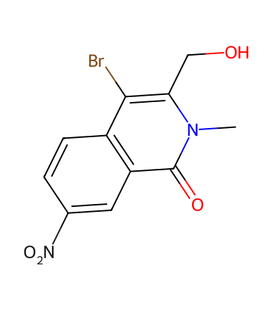 Cn1c(CO)c(Br)c2ccc([N+](=O)[O-])cc2c1=O